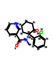 CN(C(=O)c1cccnc1)[C@]1(c2ccccc2Cl)CCCCC1=O